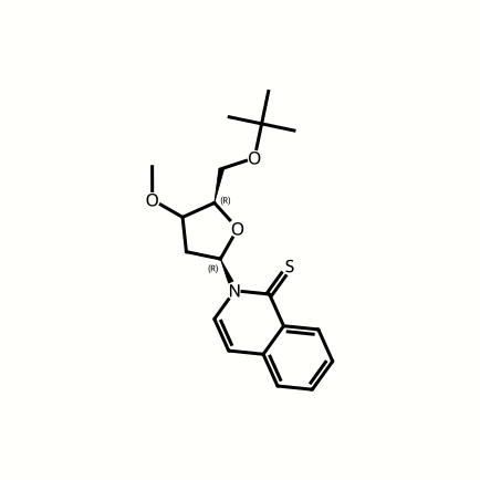 COC1C[C@H](n2ccc3ccccc3c2=S)O[C@@H]1COC(C)(C)C